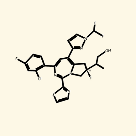 CC(CO)[C@@]1(F)CC2=C(c3ccn(C(F)F)n3)C=C(c3ccc(F)cc3Cl)N=C(c3nccs3)N2C1